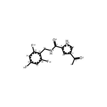 CC(=O)c1c[nH]c(C(=O)NCc2c(F)cc(F)cc2F)c1